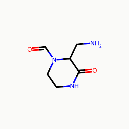 NCC1C(=O)NCCN1C=O